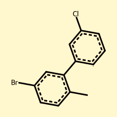 Cc1ccc(Br)cc1-c1[c]ccc(Cl)c1